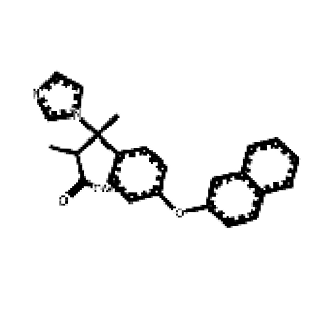 COC(=O)C(C)C(C)(c1ccc(Oc2ccc3ccccc3c2)cc1)n1ccnc1